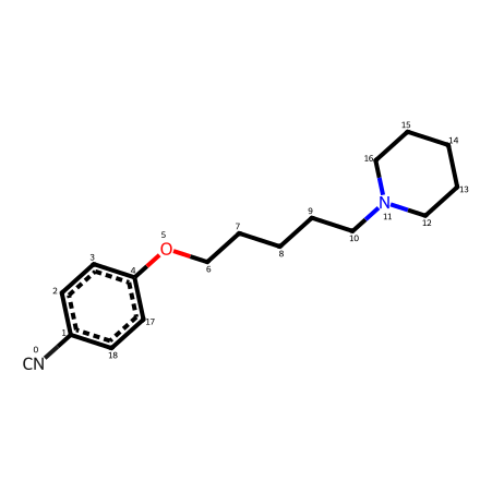 [C-]#[N+]c1ccc(OCCCCCN2CCCCC2)cc1